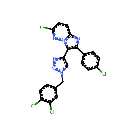 Clc1ccc(-c2nc3ccc(Cl)nn3c2-c2cn(Cc3ccc(Cl)c(Cl)c3)nn2)cc1